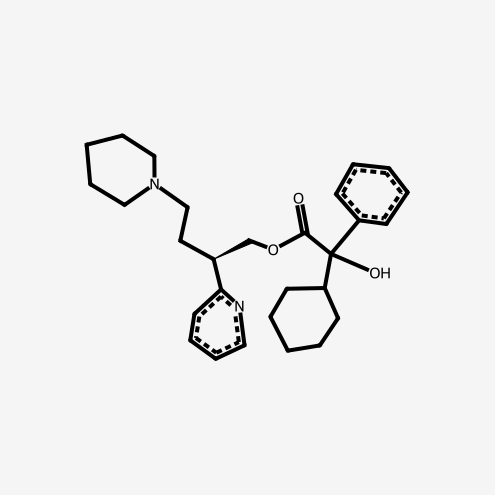 O=C(OC[C@H](CCN1CCCCC1)c1ccccn1)C(O)(c1ccccc1)C1CCCCC1